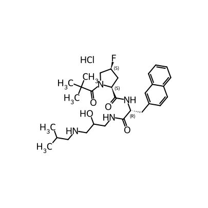 CC(C)CNCC(O)CNC(=O)[C@@H](Cc1ccc2ccccc2c1)NC(=O)[C@@H]1C[C@H](F)CN1C(=O)C(C)(C)C.Cl